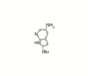 CC(C)(C)c1cc2cc(N)cnc2[nH]1